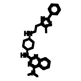 Cc1sc(-c2ccccc2)nc1CCN[C@H]1CC[C@@H](Nc2nc(N(C)C)c3ccccc3n2)CC1